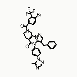 Cc1ncnn1-c1ccc(-n2c(=O)c3c(n4ncc(Cc5ccccc5)c24)CN(C(=O)c2ccc(Br)c(C(F)(F)F)c2)CC3)cc1